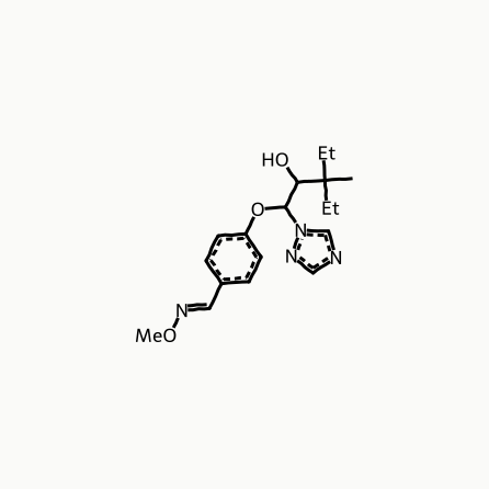 CCC(C)(CC)C(O)C(Oc1ccc(C=NOC)cc1)n1cncn1